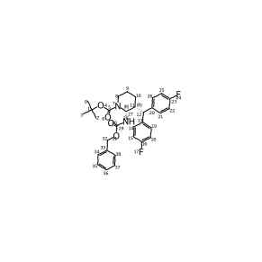 CC(C)(C)OC(=O)N1CCC[C@H](C(c2ccc(F)cc2)c2ccc(F)cc2)[C@@H]1NC(=O)OCc1ccccc1